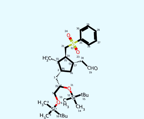 C[C@H]1[C@@H](C[C@@H](CO[Si](C)(C)C(C)(C)C)O[Si](C)(C)C(C)(C)C)C[C@@H](CC=O)[C@@H]1CS(=O)(=O)c1ccccc1